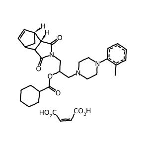 Cc1ccccc1N1CCN(CC(CN2C(=O)C3C4C=C[C@@H](C4)[C@@H]3C2=O)OC(=O)C2CCCCC2)CC1.O=C(O)/C=C\C(=O)O